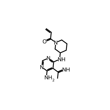 C=CC(=O)N1CCCC(Nc2ncnc(N)c2C(C)=N)C1